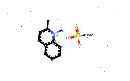 COS(=O)(=O)[O-].Cc1ccc2ccccc2[n+]1C